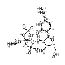 O=P([O-])([O-])OP(=O)([O-])OP(=O)([O-])[O-].O=c1ccn([C@@H]2O[C@H](CO)[C@@H](O)[C@H]2O)c(=O)[nH]1.[Na+].[Na+].[Na+].[Na+].[Na+]